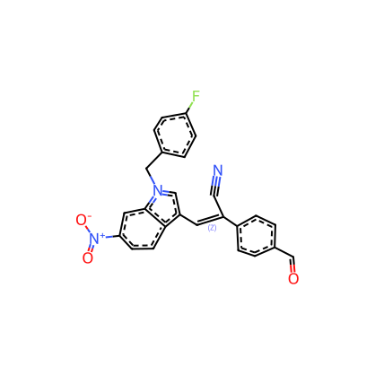 N#C/C(=C\c1cn(Cc2ccc(F)cc2)c2cc([N+](=O)[O-])ccc12)c1ccc(C=O)cc1